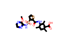 COc1nccnc1NS(=O)(=O)c1ccsc1C(=O)Nc1c(C)cc(C)c(C(=O)O)c1C